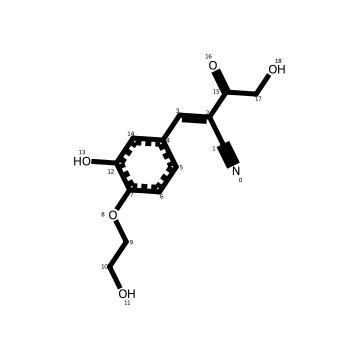 N#C/C(=C\c1ccc(OCCO)c(O)c1)C(=O)CO